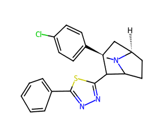 CN1C2CC[C@@H]1C[C@H](c1ccc(Cl)cc1)C2c1nnc(-c2ccccc2)s1